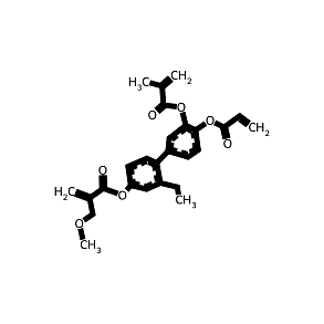 C=CC(=O)Oc1ccc(-c2ccc(OC(=O)C(=C)COC)cc2CC)cc1OC(=O)C(=C)C